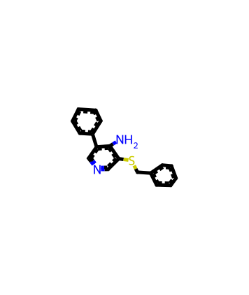 Nc1c(SCc2ccccc2)cncc1-c1ccccc1